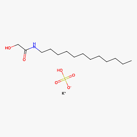 CCCCCCCCCCCCNC(=O)CO.O=S(=O)([O-])O.[K+]